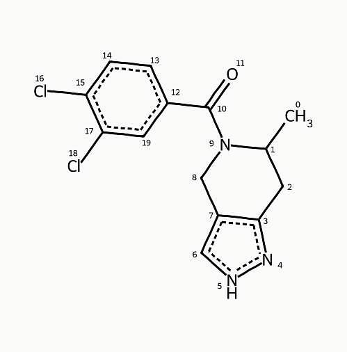 CC1Cc2n[nH]cc2CN1C(=O)c1ccc(Cl)c(Cl)c1